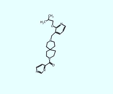 CC(C)COc1ncccc1CN1CCC2(CC1)CCN(C(=O)c1ccncn1)CC2